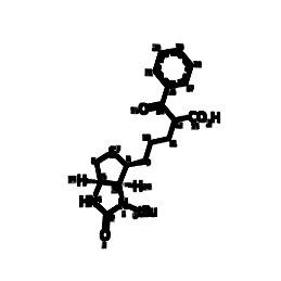 CC(C)(C)N1C(=O)N[C@H]2CS[C@@H](CCCC(C(=O)O)C(=O)c3ccccc3)[C@H]21